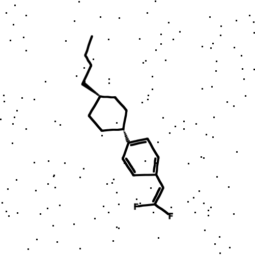 CCCC[C@H]1CC[C@H](c2ccc(C=C(F)F)cc2)CC1